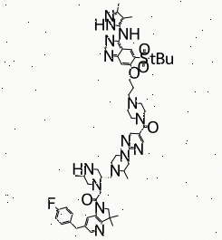 Cc1n[nH]c(Nc2ncnc3cc(OCCCN4CCN(C(=O)c5cnc(N6CCN(C[C@H]7CN[C@H](C)CN7CC(=O)N7CC(C)(C)c8ncc(Cc9ccc(F)cc9)cc87)C(C)C6)nc5)CC4)c(S(=O)(=O)C(C)(C)C)cc23)c1C